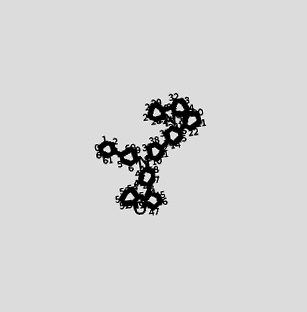 c1ccc(-c2ccc(N(c3ccc(-c4ccc(-c5ccccc5)c(-n5c6ccccc6c6ccccc65)c4)cc3)c3ccc(-c4cccc5oc6ccccc6c45)cc3)cc2)cc1